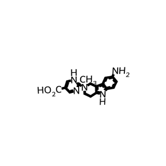 CC1(N2CCc3[nH]c4ccc(N)cc4c3C2)N=CC(C(=O)O)=CN1